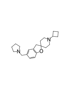 c1cc2c(cc1CN1CCCC1)CC1(CCN(C3CCC3)CC1)O2